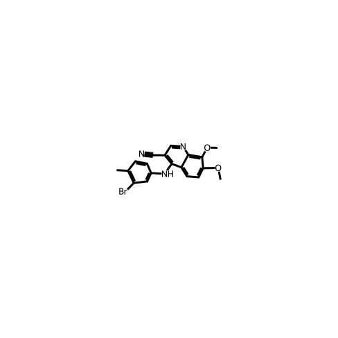 COc1ccc2c(Nc3ccc(C)c(Br)c3)c(C#N)cnc2c1OC